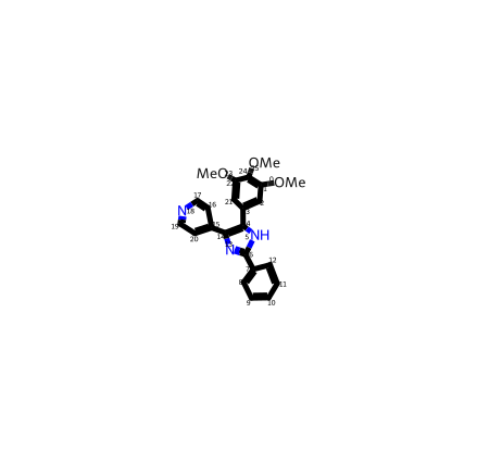 COc1cc(-c2[nH]c(-c3ccccc3)nc2-c2ccncc2)cc(OC)c1OC